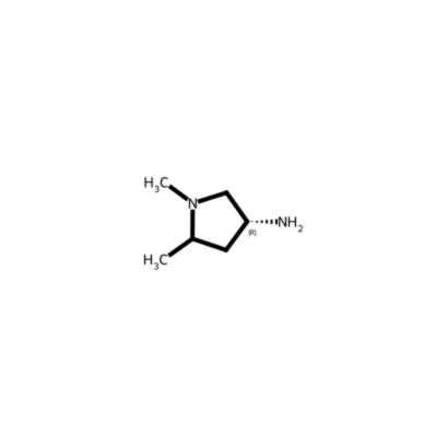 CC1C[C@@H](N)CN1C